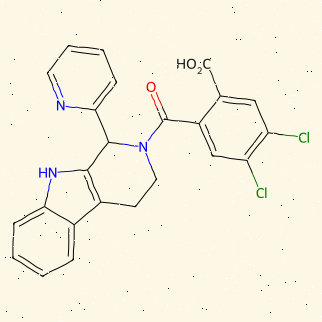 O=C(O)c1cc(Cl)c(Cl)cc1C(=O)N1CCc2c([nH]c3ccccc23)C1c1ccccn1